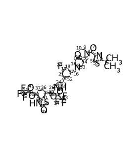 CC(C)c1nc(C(=O)N2CCOC3(CCN(Cc4cc(F)cc(CCNC[C@H](OC(=O)C(F)(F)F)c5ccc(OC(=O)C(F)(F)F)c6[nH]c(=O)sc56)c4)CC3)C2)cs1